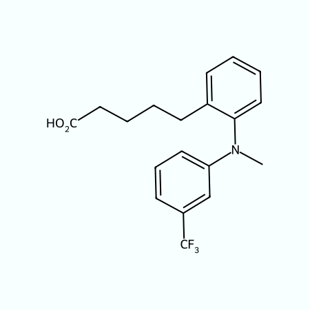 CN(c1cccc(C(F)(F)F)c1)c1ccccc1CCCCC(=O)O